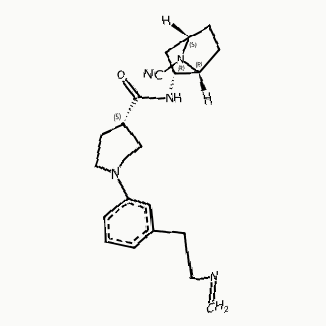 C=NCCc1cccc(N2CC[C@H](C(=O)N[C@@H]3C[C@@H]4CC[C@H]3N4C#N)C2)c1